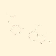 CC(=O)Nc1cc(Oc2cnc3nc(Br)n(C)c3c2C(F)F)ccn1